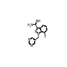 N=C(N)c1nn(Cc2cncnc2)c2c(F)cccc12